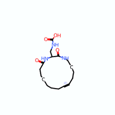 O=C(O)NCC1NC(=O)CCCCCC/C=C\CCCCNC1=O